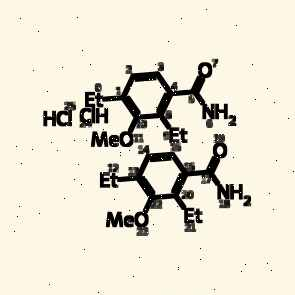 CCc1ccc(C(N)=O)c(CC)c1OC.CCc1ccc(C(N)=O)c(CC)c1OC.Cl.Cl